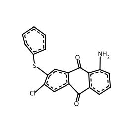 Nc1cccc2c1C(=O)c1cc(Sc3ccccc3)c(Cl)cc1C2=O